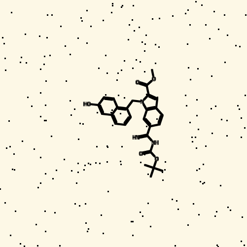 COC(=O)c1cc2ccc(C(=N)NC(=O)OC(C)(C)C)cc2n1Cc1cccc2cc(O)ccc12